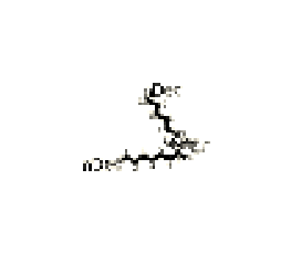 CCCCCCCCCCCCCCCCC(C)[N+](C)(C)CCCCCCCCCCCCCCCC.[Cl-]